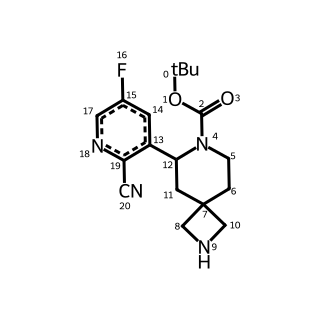 CC(C)(C)OC(=O)N1CCC2(CNC2)CC1c1cc(F)cnc1C#N